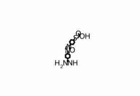 N=C(N)c1ccc(N2CCN(c3ccc(SCC(=O)O)cc3)C2=O)cc1